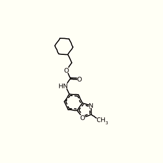 Cc1nc2cc(NC(=O)OCC3CCCCC3)ccc2o1